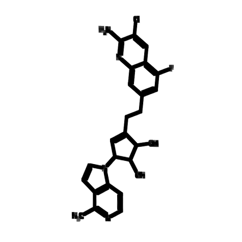 Cc1nccc2c1ccn2C1C=C(CCc2cc(F)c3cc(Cl)c(N)nc3c2)C(O)C1O